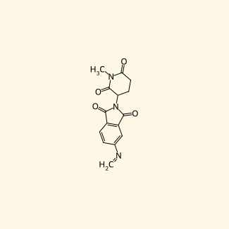 C=Nc1ccc2c(c1)C(=O)N(C1CCC(=O)N(C)C1=O)C2=O